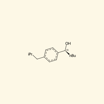 CCCC[C@H](O)c1ccc(CC(C)C)cc1